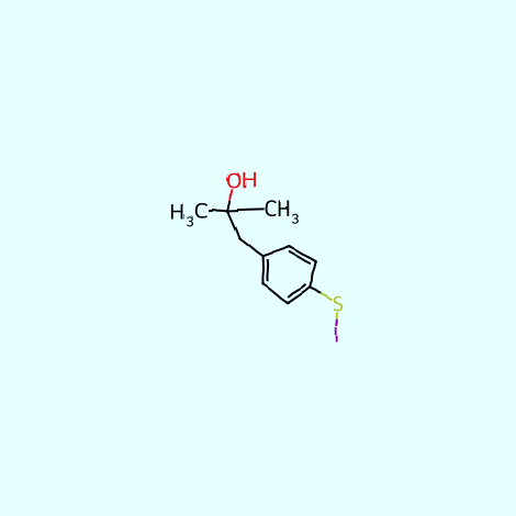 CC(C)(O)Cc1ccc(SI)cc1